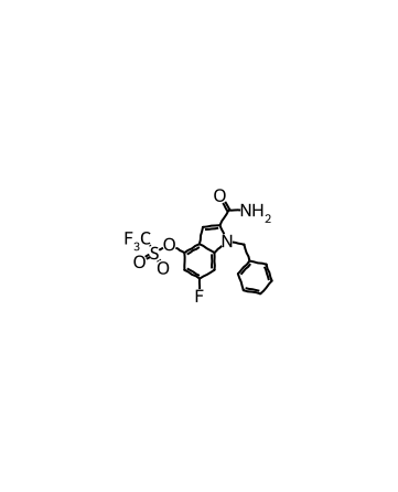 NC(=O)c1cc2c(OS(=O)(=O)C(F)(F)F)cc(F)cc2n1Cc1ccccc1